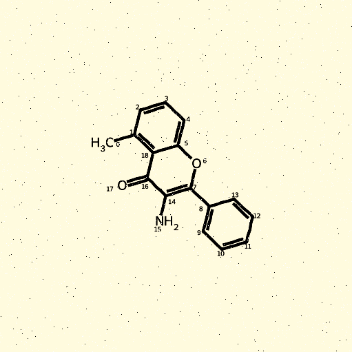 Cc1cccc2oc(-c3ccccc3)c(N)c(=O)c12